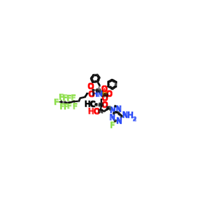 C#C[C@]1(CO[P@](=O)(N[C@@H](Cc2ccccc2)C(=O)OCCCCC(F)(F)C(F)(F)C(F)(F)C(F)(F)F)Oc2ccccc2)O[C@@H](n2cnc3c(N)nc(F)nc32)C[C@@H]1O